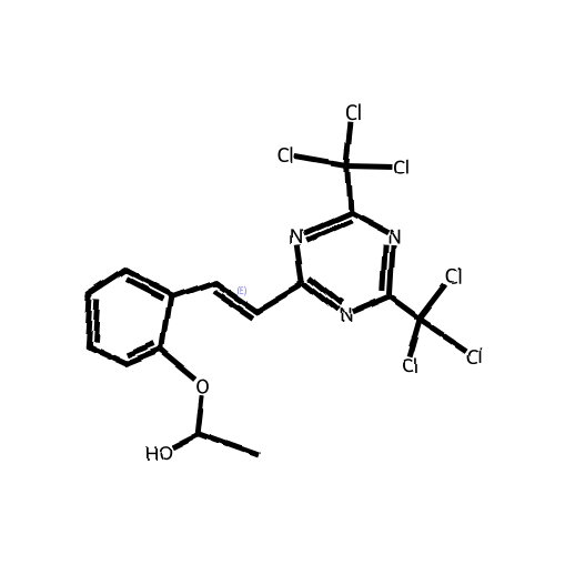 CC(O)Oc1ccccc1/C=C/c1nc(C(Cl)(Cl)Cl)nc(C(Cl)(Cl)Cl)n1